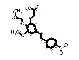 COCOc1c(CC=C(C)C)cc(/C=C/c2ccc([N+](=O)[O-])cc2)cc1OC